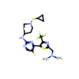 CN(C)Cc1nc(C(F)(F)F)c(-c2nc(NC3CCN(SC4CC4)CC3)ncc2F)s1